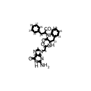 Nc1nc2c(ncn2CC(=O)NC(Cc2ccccc2)C(=O)NC(Cc2ccccc2)C(=O)O)c(=O)[nH]1